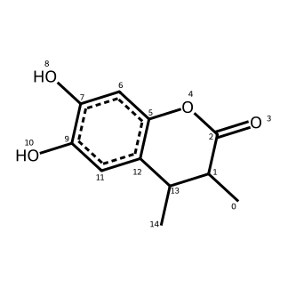 CC1C(=O)Oc2cc(O)c(O)cc2C1C